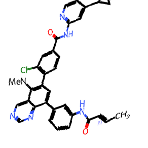 C/C=C/C(=O)Nc1cccc(-c2cc(-c3ccc(C(=O)Nc4cc(C5CC5)ccn4)cc3Cl)c(NC)c3cncnc23)c1